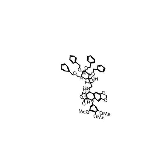 COc1cc([C@@H]2c3cc4c(cc3[C@@H](NCC(F)(F)[C@]3(O)C[C@H](COCc5ccccc5)[C@@H](OCc5ccccc5)[C@H](OCc5ccccc5)[C@H]3OCc3ccccc3)[C@H]3COC(=O)[C@H]23)OCO4)cc(OC)c1OC